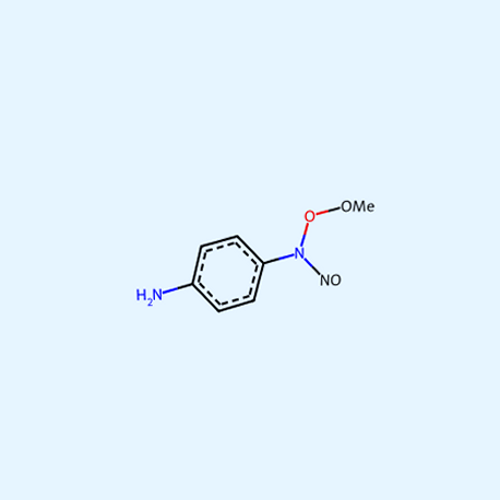 COON(N=O)c1ccc(N)cc1